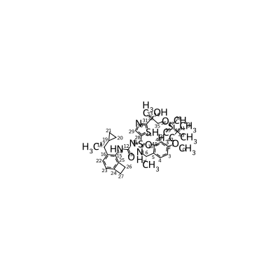 COc1ccc([C@H](C)NS(=O)(=NC(=O)Nc2c([C@H](C)C3CC3)ccc3c2CC3)c2cnc([C@](C)(O)CO[Si](C)(C)C(C)(C)C)s2)cc1